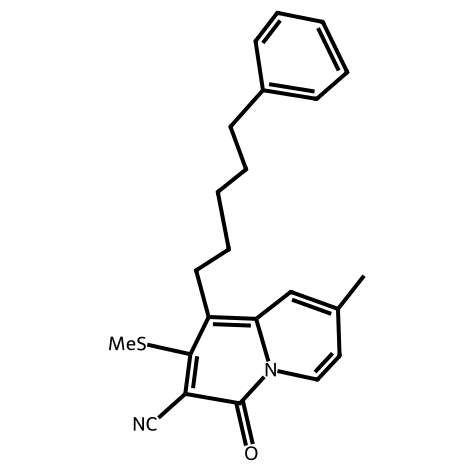 CSc1c(C#N)c(=O)n2ccc(C)cc2c1CCCCCc1ccccc1